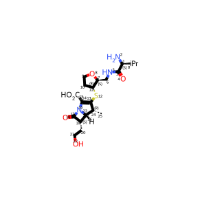 CC(C)[C@H](N)C(=O)NC[C@@H]1OCC[C@H]1SC1=C(C(=O)O)N2C(=O)[C@@H](CCO)[C@H]2[C@H]1C